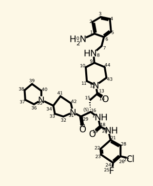 Nc1ccccc1CNC1CCN(C(=O)C[C@H](NC(=O)Nc2ccc(F)c(Cl)c2)C(=O)N2CCC(N3CCCCC3)CC2)CC1